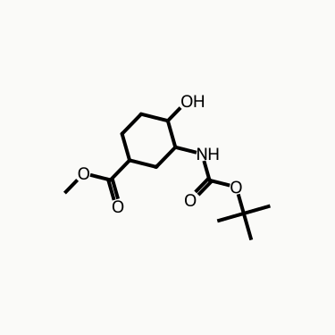 COC(=O)C1CCC(O)C(NC(=O)OC(C)(C)C)C1